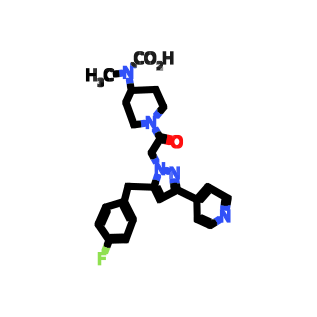 CN(C(=O)O)C1CCN(C(=O)Cn2nc(-c3ccncc3)cc2Cc2ccc(F)cc2)CC1